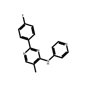 Cc1cnc(-c2ccc(F)cc2)nc1Nc1ccncc1